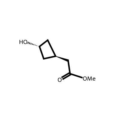 COC(=O)C[C@H]1C[C@H](O)C1